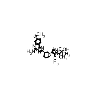 COc1ccc2c(c1)nc(N)n1nc([C@@H]3CCCN(c4cnn(C(C)C(C)(C)O)c4C)C3)nc21